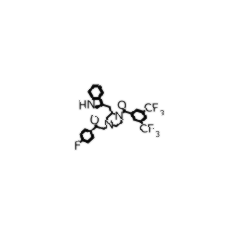 O=C(CN1CCN(C(=O)c2cc(C(F)(F)F)cc(C(F)(F)F)c2)C(Cc2c[nH]c3ccccc23)C1)c1ccc(F)cc1